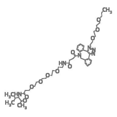 CCCOCCOCCOCCn1nnc2c1-c1ccccc1N(C(=O)CCC(=O)NCCOCCOCCOCCOCCC(=O)NC(C(C)=O)C(C)C)Cc1ccccc1-2